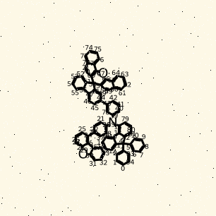 c1ccc(C2(c3ccccc3)c3ccccc3-c3c(N(c4ccc(-c5cccc6oc7ccccc7c56)cc4)c4cccc(-c5ccc6c(c5)C5(c7ccccc7-6)c6ccc7ccccc7c6Oc6c5ccc5ccccc65)c4)cccc32)cc1